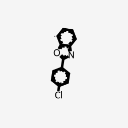 Clc1ccc(-c2nc3ccc[c]c3o2)cc1